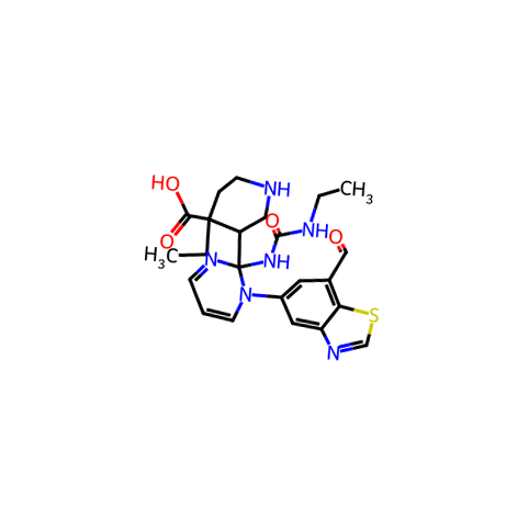 CCNC(=O)NC1(C2CNCCC2(CC)C(=O)O)N=CC=CN1c1cc(C=O)c2scnc2c1